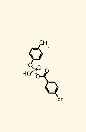 CCc1ccc(C(=O)OP(=O)(O)Oc2ccc(C)cc2)cc1